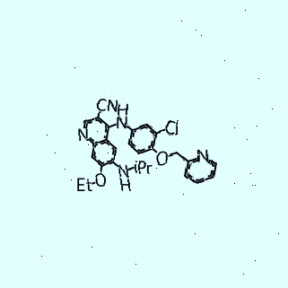 CCOc1cc2ncc(C#N)c(Nc3ccc(OCc4ccccn4)c(Cl)c3)c2cc1NC(C)C